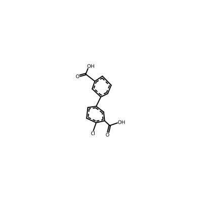 O=C(O)c1cccc(-c2ccc(Cl)c(C(=O)O)c2)c1